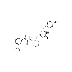 CC(=O)c1cccc(NC(=O)N[C@@H]2CCCC[C@H]2CN2CC(=O)N[C@@H](Cc3ccc(Cl)cc3)C2)c1